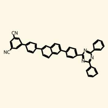 N#Cc1cc(C#N)cc(-c2ccc(-c3ccc4cc(-c5ccc(-c6nc(-c7ccccc7)nc(-c7ccccc7)n6)cc5)ccc4c3)cc2)c1